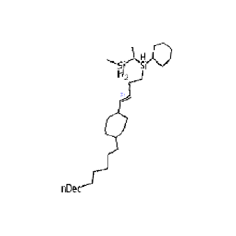 CCCCCCCCCCCCCCCC1CCC(/C=C/CC[SiH](C2CCCCC2)C(C)[SiH2]C)CC1